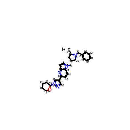 C[C@@H]1C[C@@H](Cn2ccc3nc(-c4cnn(C5CCCCO5)c4)ccc32)CN1Cc1ccccc1